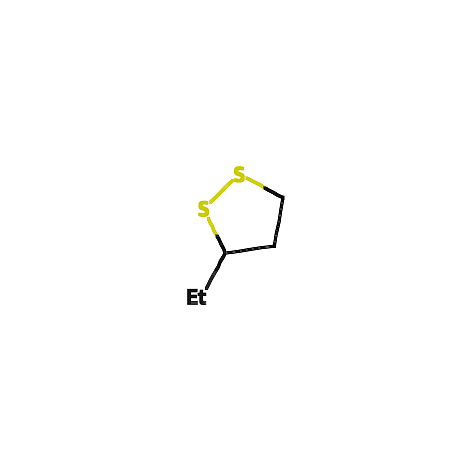 CCC1CCSS1